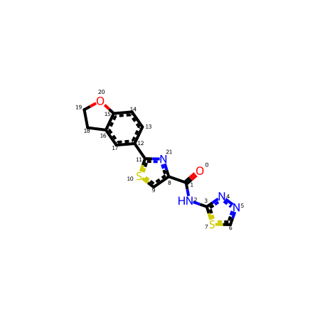 O=C(Nc1nncs1)c1csc(-c2ccc3c(c2)CCO3)n1